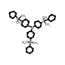 C[Si](C)(c1ccccc1)c1ccc(N(c2ccc([Si](C)(C)c3ccccc3)cc2)c2ccc([Si](C)(C)c3ccccc3)cc2)cc1